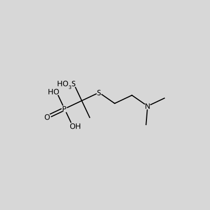 CN(C)CCSC(C)(P(=O)(O)O)S(=O)(=O)O